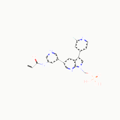 C=CC(=O)Nc1cncc(-c2cnc3c(c2)c(-c2ccnc(F)c2)cn3COP(=O)(O)O)c1